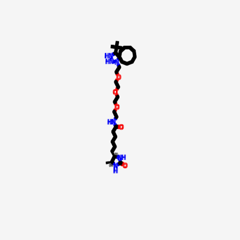 C[C@@H]1NC(=O)N[C@@H]1CCCCCC(=O)NCCOCCOCCOCCN1NNC(C(C)(C)C)C12CCCCCCCC2